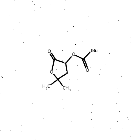 CC1(C)CC(OC(=O)C(C)(C)C)C(=O)O1